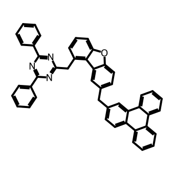 c1ccc(-c2nc(Cc3cccc4oc5ccc(Cc6ccc7c8ccccc8c8ccccc8c7c6)cc5c34)nc(-c3ccccc3)n2)cc1